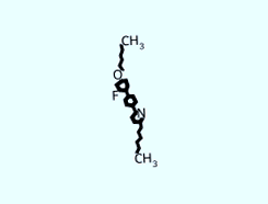 CCCCCCCOc1ccc(-c2ccc(-c3ccc(CCCCCCC)cn3)cc2)c(F)c1